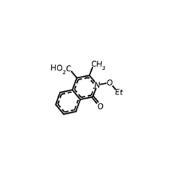 CCOn1c(C)c(C(=O)O)c2ccccc2c1=O